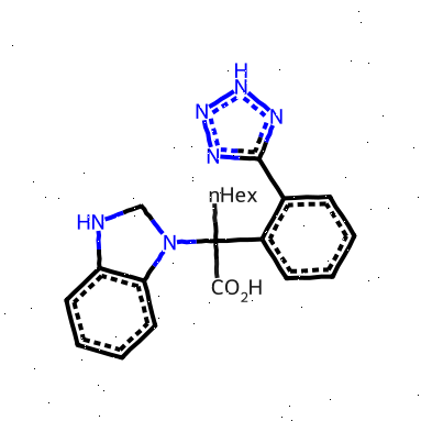 CCCCCCC(C(=O)O)(c1ccccc1-c1nn[nH]n1)N1CNc2ccccc21